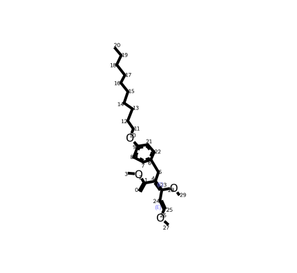 C=C(OC)/C(Cc1ccc(OCCCCCCCCCC)cc1)=C(\C=C\OC)OC